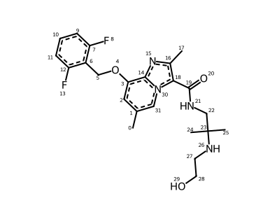 Cc1cc(OCc2c(F)cccc2F)c2nc(C)c(C(=O)NCC(C)(C)NCCO)n2c1